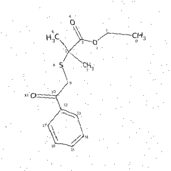 CCOC(=O)C(C)(C)SCC(=O)c1ccccc1